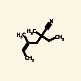 C/C=C(/C)CC(C)(C#N)CC